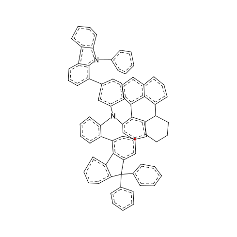 c1ccc(-n2c3ccccc3c3cccc(-c4cccc(N(c5ccccc5-c5cccc6c5-c5ccccc5C6(c5ccccc5)c5ccccc5)c5ccccc5-c5cccc6cccc(C7CCCCC7)c56)c4)c32)cc1